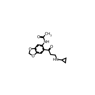 CC(=O)Nc1cc2c(cc1C(=O)CCNC1CC1)OCO2